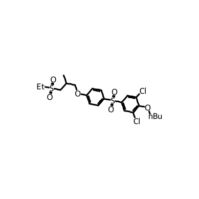 CCCCOc1c(Cl)cc(S(=O)(=O)c2ccc(OCC(C)CS(=O)(=O)CC)cc2)cc1Cl